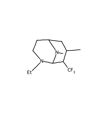 CCN1CCC2CC(C)C(C(F)(F)F)C1N2C